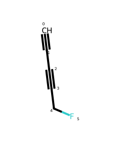 C#CC#CCF